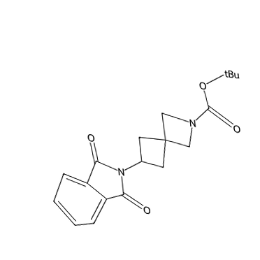 CC(C)(C)OC(=O)N1CC2(CC(N3C(=O)c4ccccc4C3=O)C2)C1